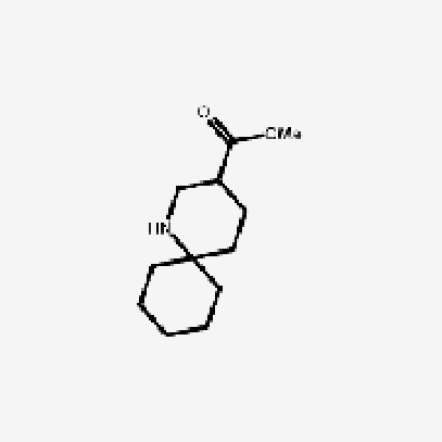 COC(=O)C1CCC2(CCCCC2)NC1